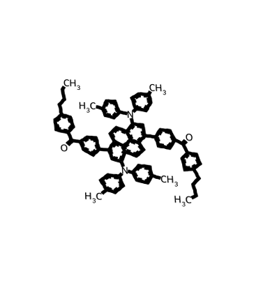 CCCCc1ccc(C(=O)c2ccc(-c3cc(N(c4ccc(C)cc4)c4ccc(C)cc4)c4ccc5c(-c6ccc(C(=O)c7ccc(CCCC)cc7)cc6)cc(N(c6ccc(C)cc6)c6ccc(C)cc6)c6ccc3c4c56)cc2)cc1